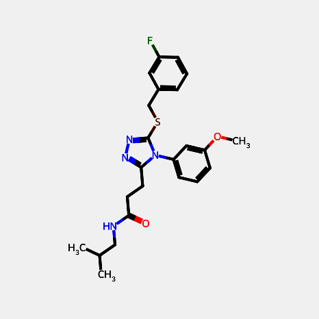 COc1cccc(-n2c(CCC(=O)NCC(C)C)nnc2SCc2cccc(F)c2)c1